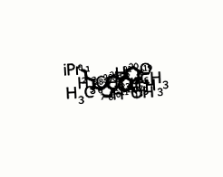 CC(C)CCC[C@@H](C)[C@H]1CC[C@H]2[C@@H]3CC(O)=C4C(C)(C)C(=O)CC[C@]4(C)[C@H]3CC[C@]12C